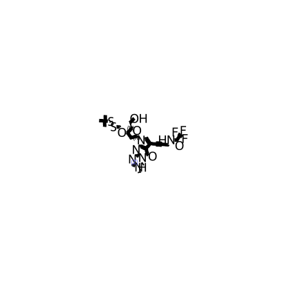 CN(C)/C=N\c1nc2c(c(C#CCNC(=O)C(F)(F)F)cn2[C@H]2CC(OCSSC(C)(C)C)[C@@H](CO)O2)c(=O)[nH]1